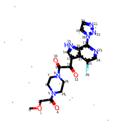 COCC(=O)N1CCN(C(=O)C(=O)c2c[nH]c3c(-n4ccnn4)ncc(F)c23)CC1